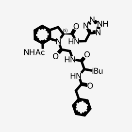 CCC(C)C(NC(=O)Cc1ccccc1)C(=O)NCC(=O)N1c2c(cccc2NC(C)=O)C[C@H]1C(=O)NCc1nn[nH]n1